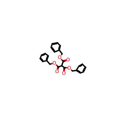 O=C(OCc1ccccc1)C(C(=O)OCc1ccccc1)C(=O)OCc1ccccc1